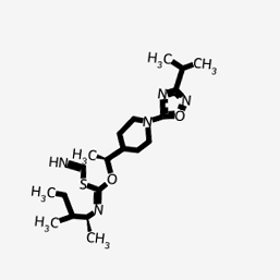 CCC(C)[C@H](C)/N=C(/O[C@@H](C)C1CCN(c2nc(C(C)C)no2)CC1)SC=N